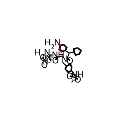 CS(=O)(=O)Nc1ccc(CN(C(=O)C(c2ccccc2)c2ccccc2)[C@@H](CCCN)C(=O)NC(N)=N[N+](=O)[O-])cc1